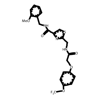 COc1ccccc1CNC(=O)c1csc(CNC(=O)COc2ccc(OC(F)(F)F)cc2)n1